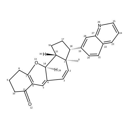 C[C@]12C=CC3=CC4=C(CCCC4=O)O[C@H]3[C@@H]1CC[C@@H]2c1ccc2cccnc2c1